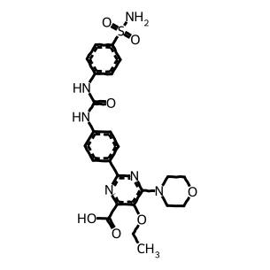 CCOc1c(C(=O)O)nc(-c2ccc(NC(=O)Nc3ccc(S(N)(=O)=O)cc3)cc2)nc1N1CCOCC1